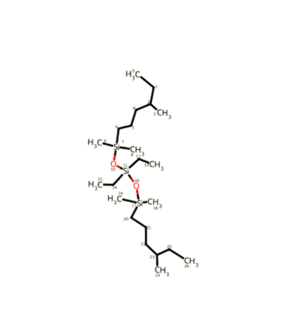 CCC(C)CCC[Si](C)(C)O[Si](CC)(CC)O[Si](C)(C)CCCC(C)CC